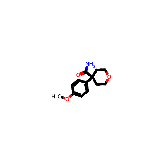 COc1ccc(C2(C(N)=O)CCOCC2)cc1